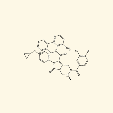 C[C@H]1Cn2c(c(C(=O)NCc3c(F)cccc3-c3nccc(N)n3)n(-c3ccc(OC4CC4)cc3)c2=O)CN1C(=O)c1ccc(Br)c(Cl)c1